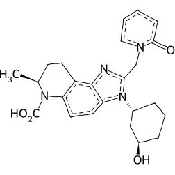 C[C@H]1CCc2c(ccc3c2nc(Cn2ccccc2=O)n3[C@@H]2CCC[C@@H](O)C2)N1C(=O)O